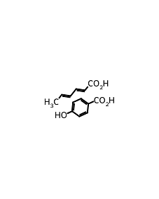 C/C=C/C=C/C(=O)O.O=C(O)c1ccc(O)cc1